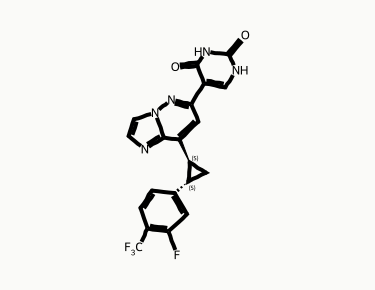 O=c1[nH]cc(-c2cc([C@H]3C[C@@H]3c3ccc(C(F)(F)F)c(F)c3)c3nccn3n2)c(=O)[nH]1